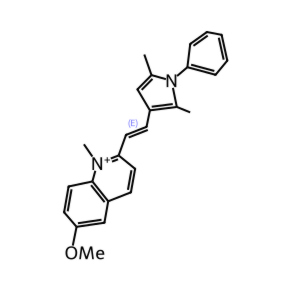 COc1ccc2c(ccc(/C=C/c3cc(C)n(-c4ccccc4)c3C)[n+]2C)c1